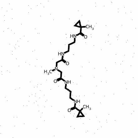 CN(CC(=O)NCCCNC(=O)C1(C)CC1)CC(=O)NCCCNC(=O)C1(C)CC1